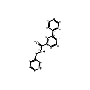 O=C(NCc1cccnc1)c1cccc(-c2ccccc2)c1